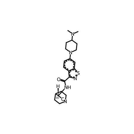 CN(C)C1CCN(c2ccc3c(C(=O)N[C@@H]4CN5CCC4CC5)nsc3c2)CC1